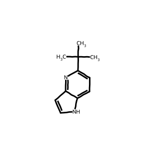 CC(C)(C)c1ccc2[nH]ccc2n1